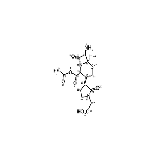 N[C@@H]1C(=O)N2C(C(=O)OC(=O)C(F)(F)F)/C(=C3\CCN(CC(=O)O)C3=O)CS[C@H]12